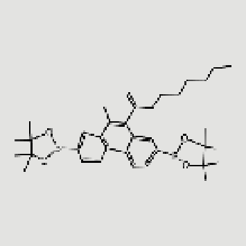 C=C(CCCCCCC)c1c(C)c2cc(B3OC(C)(C)C(C)(C)O3)ccc2c2ccc(B3OC(C)(C)C(C)(C)O3)cc12